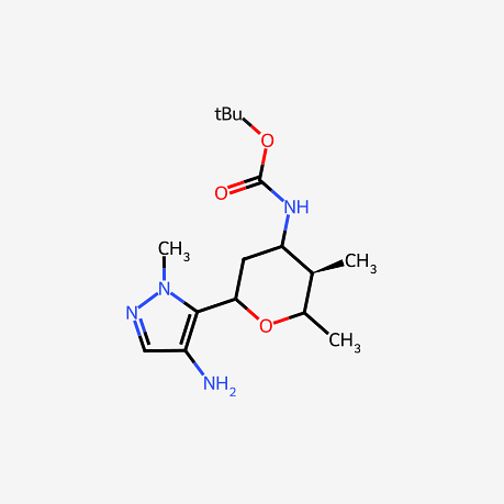 CC1OC(c2c(N)cnn2C)CC(NC(=O)OC(C)(C)C)[C@H]1C